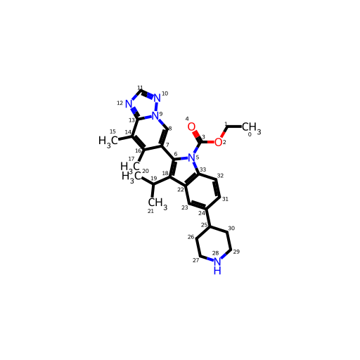 CCOC(=O)n1c(-c2cn3ncnc3c(C)c2C)c(C(C)C)c2cc(C3CCNCC3)ccc21